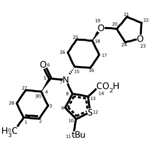 CC1=CC[C@H](C(=O)N(c2cc(C(C)(C)C)sc2C(=O)O)[C@H]2CC[C@H](OC3CCOC3)CC2)CC1